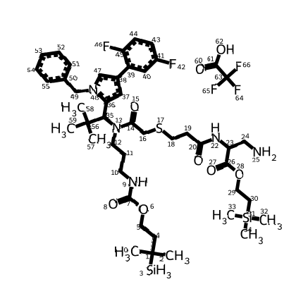 CC(C)([SiH3])CCOC(=O)NCCCN(C(=O)CSCCC(=O)NC(CN)C(=O)OCC[Si](C)(C)C)C(c1cc(-c2cc(F)ccc2F)cn1Cc1ccccc1)C(C)(C)C.O=C(O)C(F)(F)F